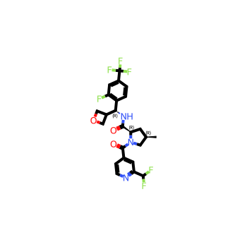 C[C@@H]1C[C@H](C(=O)N[C@@H](c2ccc(C(F)(F)F)cc2F)C2COC2)N(C(=O)c2ccnc(C(F)F)c2)C1